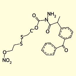 CC(C(=O)N(N)C(=O)OCCSSCCO[N+](=O)[O-])c1cccc(C(=O)c2ccccc2)c1